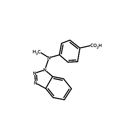 CN(c1ccc(C(=O)O)cc1)n1nnc2ccccc21